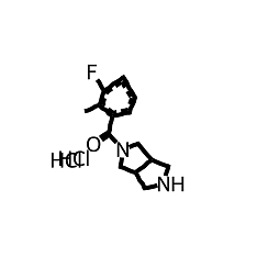 Cc1c(F)cccc1C(=O)N1CC2CNCC2C1.Cl.Cl